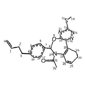 C=CCCc1ccc(C2Oc3nc(SC)nnc3C3=C(C=CCC3)N2C(C)=O)cc1